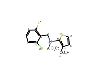 CCOC(=O)N(Cc1c(F)cccc1F)c1sccc1C(=O)O